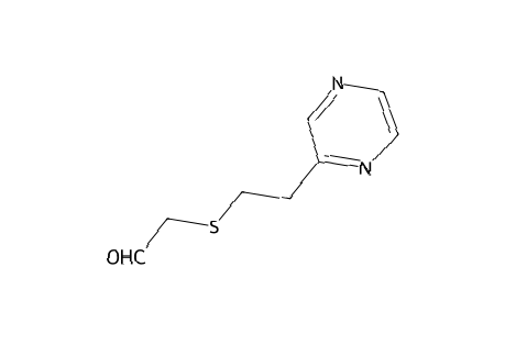 O=CCSCCc1cnccn1